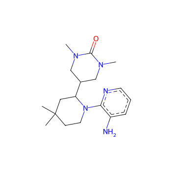 CN1CC(C2CC(C)(C)CCN2c2ncccc2N)CN(C)C1=O